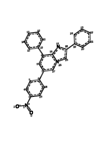 O=[N+]([O-])c1ccc(-c2cc(-c3ccccc3)c3nc(-c4ccccc4)cn3c2)cc1